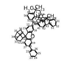 CC1(C)CCC(C)(C)c2c(N(c3ccc4c(c3)Oc3cc(-c5ccccc5)ccc3C43C4CC5CC6CC3C64C5)c3ccc4c(c3)C(C)(C)c3ccccc3-4)cccc21